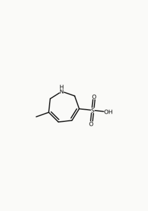 CC1=CC=C(S(=O)(=O)O)CNC1